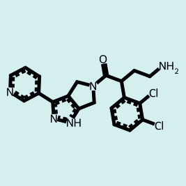 NCCC(C(=O)N1Cc2[nH]nc(-c3cccnc3)c2C1)c1cccc(Cl)c1Cl